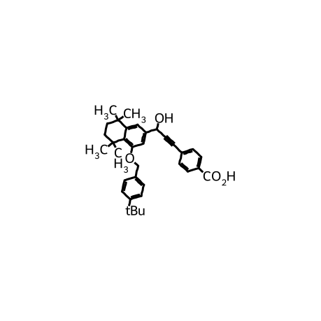 CC(C)(C)c1ccc(COc2cc(C(O)C#Cc3ccc(C(=O)O)cc3)cc3c2C(C)(C)CCC3(C)C)cc1